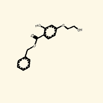 O=C(OCc1ccccc1)c1ccc(OCCO)cc1O